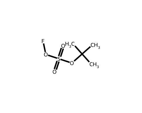 CC(C)(C)OS(=O)(=O)OF